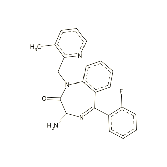 Cc1cccnc1CN1C(=O)[C@@H](N)N=C(c2ccccc2F)c2ccccc21